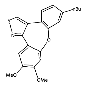 CCCCc1ccc2c(c1)Oc1cc(OC)c(OC)cc1-c1nscc1-2